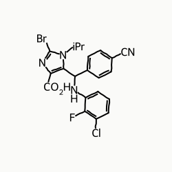 CC(C)n1c(Br)nc(C(=O)O)c1C(Nc1cccc(Cl)c1F)c1ccc(C#N)cc1